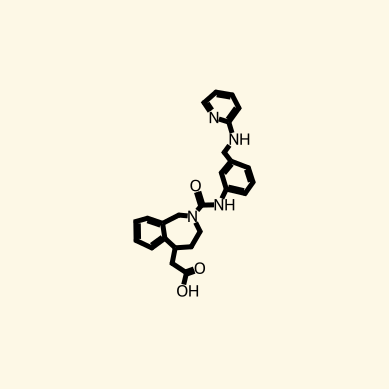 O=C(O)CC1CCN(C(=O)Nc2cccc(CNc3ccccn3)c2)Cc2ccccc21